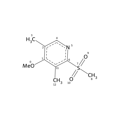 COc1c(C)cnc(S(C)(=O)=O)c1C